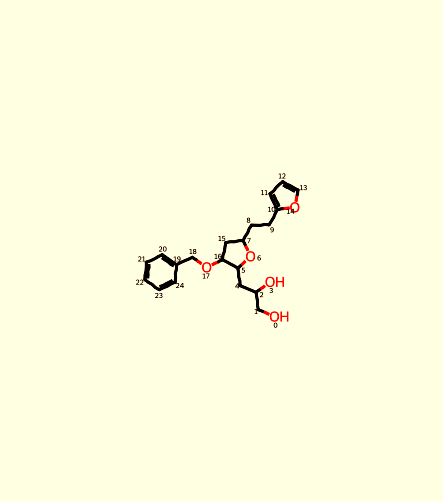 OCC(O)CC1OC(CCc2ccco2)CC1OCc1ccccc1